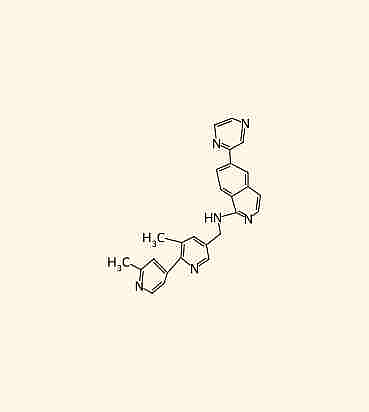 Cc1cc(-c2ncc(CNc3nccc4cc(-c5cnccn5)ccc34)cc2C)ccn1